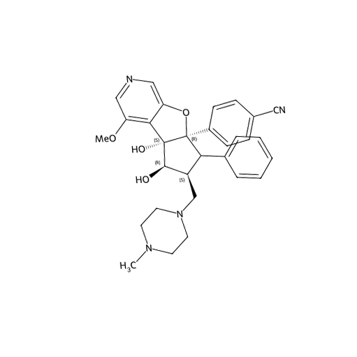 COc1cncc2c1[C@]1(O)[C@H](O)[C@H](CN3CCN(C)CC3)C(c3ccccc3)[C@]1(c1ccc(C#N)cc1)O2